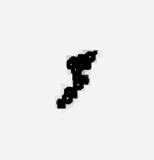 Cc1ccc(S(=O)(=O)OCC(COc2cc(-c3ccc4cc(N(C)C)ccc4n3)ccc2N(C)C)OC2CCCCO2)cc1